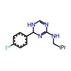 CC(C)CNC1=NC(c2ccc(F)cc2)NC=N1